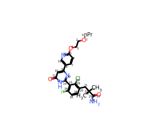 CCCOCCOc1ccc(-c2cc(=O)[nH]c(-c3c(F)ccc(CC(C)(C)C(N)=O)c3Cl)n2)cn1